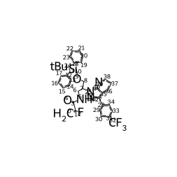 C=C(F)C(=O)NCC(COC[Si](c1ccccc1)(c1ccccc1)C(C)(C)C)n1nc(-c2ccc(C(F)(F)F)cc2)c2cccnc21